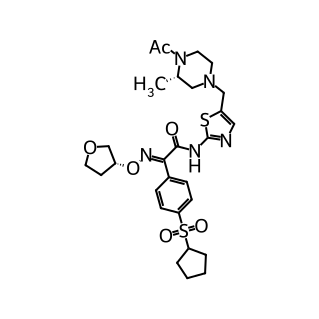 CC(=O)N1CCN(Cc2cnc(NC(=O)/C(=N/O[C@@H]3CCOC3)c3ccc(S(=O)(=O)C4CCCC4)cc3)s2)C[C@@H]1C